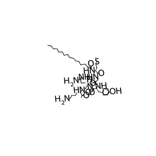 CCCCCCCCCCCCCCCC(=O)N[C@@H](CCSC)C(=O)NCC(=O)N[C@@H](Cc1ccc(O)cc1)C(=O)N[C@@H](CCC(=N)N)C(=O)N[C@@H](CCCCN)C(C)=O